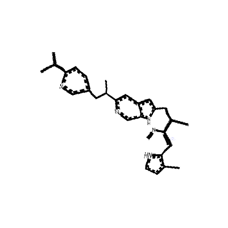 C=N/C(=C\c1[nH]ccc1C)C(C)Cc1cc2cc(C(C)Cc3ccc(C(C)C)nc3)ncc2[nH]1